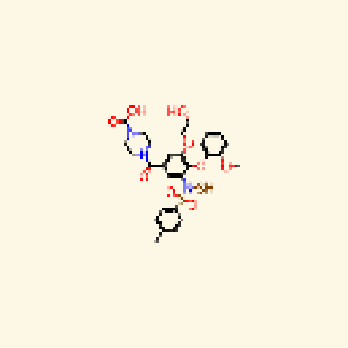 COc1ccccc1Oc1c(OCCO)cc(C(=O)N2CCN(C(=O)O)CC2)cc1N(S)S(=O)(=O)c1ccc(C)cc1